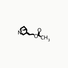 CC(=O)OCC=C1CN2CCC1CC2